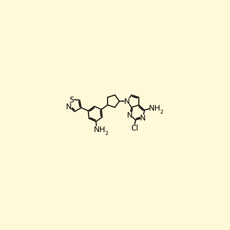 Nc1cc(-c2cnsc2)cc(C2CCC(n3ccc4c(N)nc(Cl)nc43)C2)c1